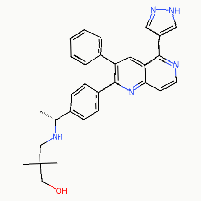 C[C@@H](NCC(C)(C)CO)c1ccc(-c2nc3ccnc(-c4cn[nH]c4)c3cc2-c2ccccc2)cc1